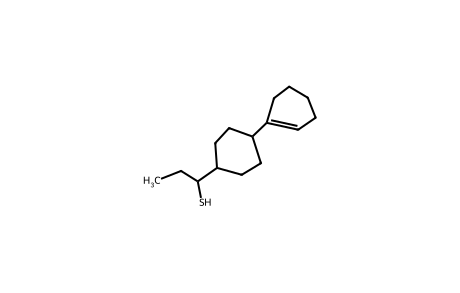 CCC(S)C1CCC(C2=CCCCC2)CC1